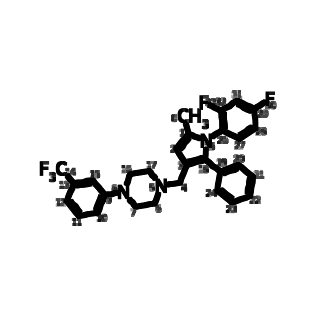 Cc1cc(CN2CCN(c3cccc(C(F)(F)F)c3)CC2)c(-c2ccccc2)n1-c1ccc(F)cc1F